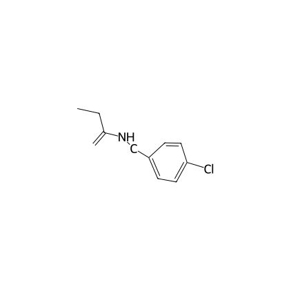 C=C(CC)NCc1ccc(Cl)cc1